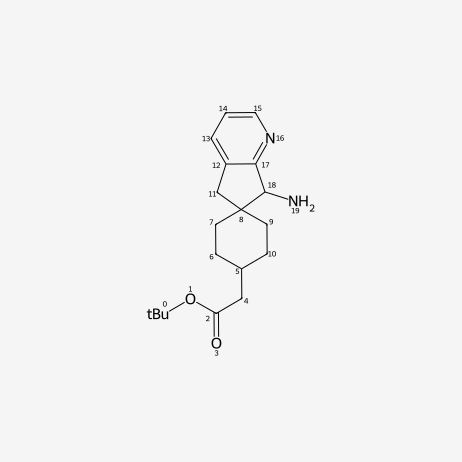 CC(C)(C)OC(=O)CC1CCC2(CC1)Cc1cccnc1C2N